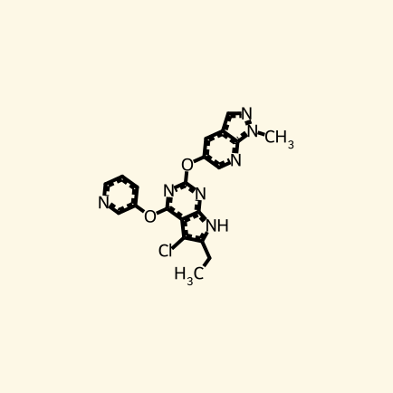 CCc1[nH]c2nc(Oc3cnc4c(cnn4C)c3)nc(Oc3cccnc3)c2c1Cl